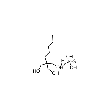 CCCCCC(CO)(CO)CO.OP(O)(O)=S